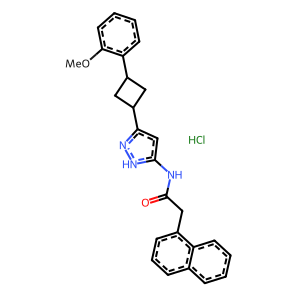 COc1ccccc1C1CC(c2cc(NC(=O)Cc3cccc4ccccc34)[nH]n2)C1.Cl